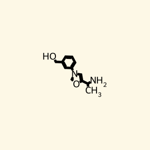 CC(N)C1=CN(c2cccc(CO)c2)CO1